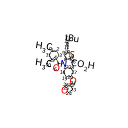 CC1=CCC(C(=O)N(c2cc(C#CC(C)(C)C)sc2C(=O)O)[C@H]2CC[C@H](O[C@H]3CCOC3)CC2)[C@@H](C)C1